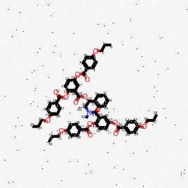 CCCOc1ccc(C(=O)Oc2ccc(OC(=O)c3ccc(OCCC)cc3)c(C(=O)O[C@@H](c3ccccc3)[C@@H](C)N(C)C(=O)c3cc(OC(=O)c4ccc(OCCC)cc4)ccc3OC(=O)c3ccc(OCCC)cc3)c2)cc1